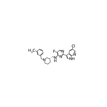 Cc1cccc(CN2CCC[C@@H](CNc3nc(-c4c[nH]c5ncc(Cl)cc45)ncc3F)C2)c1